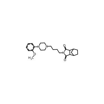 COc1ccccc1N1CCN(CCCCN2C(=O)C3C4CCC(C4)C3C2=O)CC1